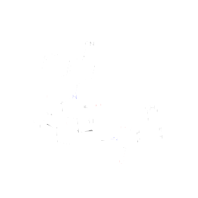 Cc1cccc2c(=O)n(CC[C@@]34CC[C@@](C)(O3)[C@H]3C(=O)N(c5ccc(C#N)c6ccccc56)C(=O)[C@H]34)oc12